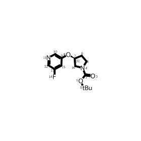 CC(C)(C)OC(=O)N1CC[C@H](Oc2cncc(F)c2)C1